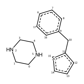 C1CNCCN1.c1ccc(Cc2cccs2)cc1